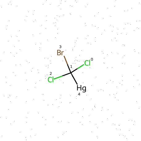 Cl[C](Cl)(Br)[Hg]